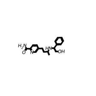 CC(CCc1ccc(C(N)=O)nc1)NC(CO)c1ccccc1